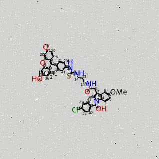 COc1ccc2c(c1)c(CC(=O)NCCCNC(=S)Nc1ccc(-c3c4ccc(=O)cc-4oc4cc(O)ccc34)c(C(=O)O)c1)c(C)n2C(O)c1ccc(Cl)cc1